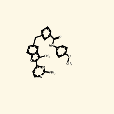 COc1ccc(NC(=O)c2cccc(Cc3ccc4sc(-c5ccnc(N)n5)c(C)c4c3)c2)cc1